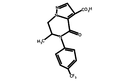 CC1Cn2ncc(C(=O)O)c2C(=O)N1c1ccc(C(F)(F)F)cc1